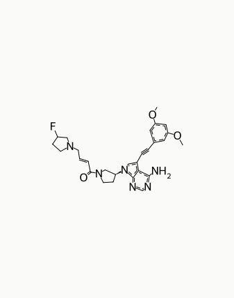 COc1cc(C#Cc2cn([C@H]3CCN(C(=O)/C=C/CN4CCC(F)C4)C3)c3ncnc(N)c23)cc(OC)c1